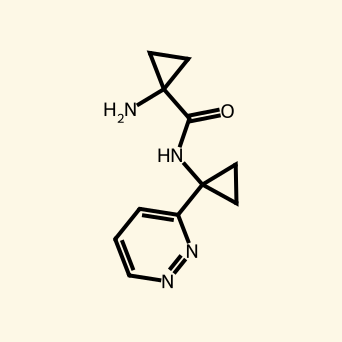 NC1(C(=O)NC2(c3cccnn3)CC2)CC1